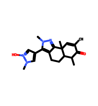 CC1C(=O)C(C#N)=CC2(C)c3nn(C)c(-c4cn(C)[n+](O)c4)c3CCC12